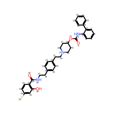 O=C(Nc1ccccc1-c1ccccc1)OC1CCN(CCc2ccc(CCNC(=O)c3ccc(F)cc3O)cc2)CC1